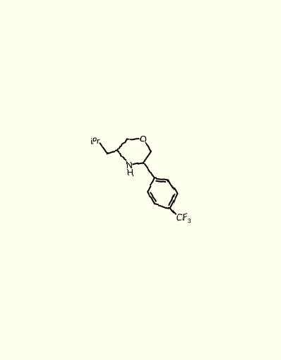 CC(C)CC1COCC(c2ccc(C(F)(F)F)cc2)N1